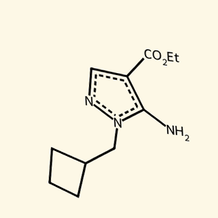 CCOC(=O)c1cnn(CC2CCC2)c1N